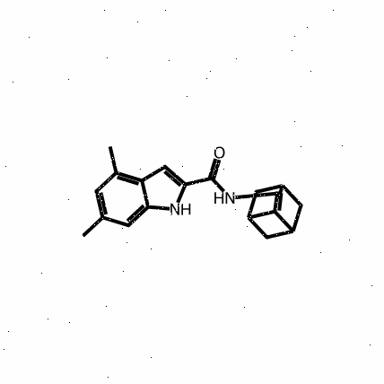 Cc1cc(C)c2cc(C(=O)NC3=C4C5CC(C3)CC4C5)[nH]c2c1